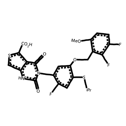 COc1ccc(F)c(F)c1COc1cc(-n2c(=O)[nH]c3csc(C(=O)O)c3c2=O)c(F)cc1SC(C)C